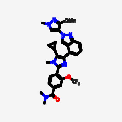 COc1nn(C)cc1-n1cc2c(-c3nc(-c4ccc(C(=O)N(C)C)cc4OC(F)(F)F)n(C)c3C3CC3)cccc2n1